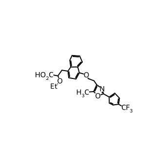 CCOC(Cc1ccc(OCCc2nc(-c3ccc(C(F)(F)F)cc3)oc2C)c2ccccc12)C(=O)O